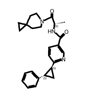 C[C@H](NC(=O)c1ccc([C@H]2C[C@@H]2c2ccccc2)nc1)C(=O)N1CCC2(CC1)CC2